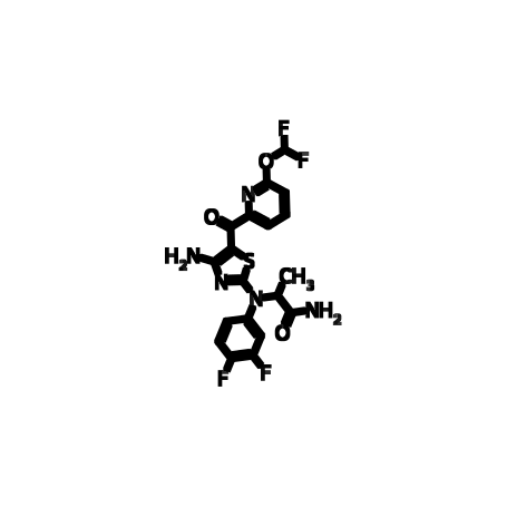 CC(C(N)=O)N(c1ccc(F)c(F)c1)c1nc(N)c(C(=O)c2cccc(OC(F)F)n2)s1